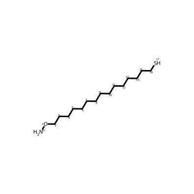 NOCCCCCCCCCCCCCCCS